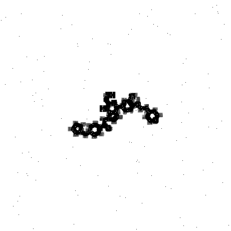 N=CC1N=C(c2ccc(OCCC3CCOCC3)c(C(F)(F)F)c2)c2ccn(CC(=O)N3CCC(CN4CCCC4)CC3)c2N1